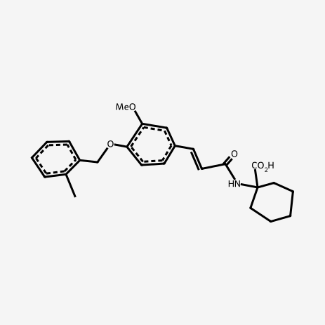 COc1cc(C=CC(=O)NC2(C(=O)O)CCCCC2)ccc1OCc1ccccc1C